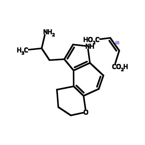 CC(N)Cc1c[nH]c2ccc3c(c12)CCCO3.O=C(O)/C=C\C(=O)O